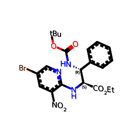 CCOC(=O)[C@@H](Nc1ncc(Br)cc1[N+](=O)[O-])[C@H](NC(=O)OC(C)(C)C)c1ccccc1